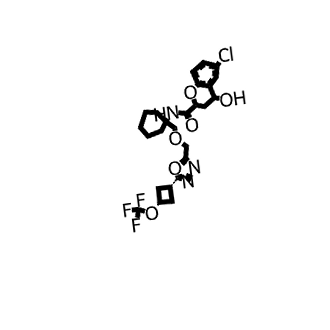 O=C(NC1(COCc2nnc([C@H]3C[C@@H](OC(F)(F)F)C3)o2)CCCCC1)C1CC(O)c2cc(Cl)ccc2O1